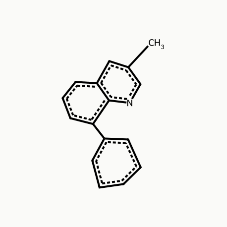 Cc1cnc2c(-c3ccccc3)cccc2c1